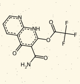 NC(=O)c1c(OC(=O)C(F)(F)F)[nH]c2ncccc2c1=O